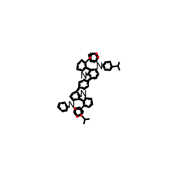 CC(C)c1ccc(N(c2ccccc2)c2ccc3c4cc5c(cc4n4c6cccc(C7CCCC7)c6c2c34)c2ccc(N(c3ccccc3)c3ccc(C(C)C)cc3)c3c4c(C6CCCC6)cccc4n5c23)cc1